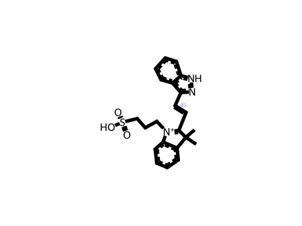 CC1(C)C(/C=C/c2n[nH]c3ccccc23)=[N+](CCCS(=O)(=O)O)c2ccccc21